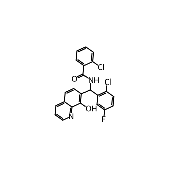 O=C(NC(c1cc(F)ccc1Cl)c1ccc2cccnc2c1O)c1ccccc1Cl